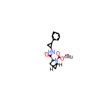 CC(C)(C)OC(=O)N1[C@@H]2C[C@@H]2C[C@H]1C(=O)NC1CC1c1ccccc1